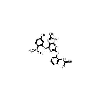 Cc1nc2c(Oc3cc(C#N)ccc3N(C)C)nc(Oc3ccccc3NC(=N)N)nc2[nH]1